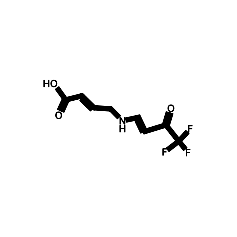 O=C(O)/C=C/CN/C=C/C(=O)C(F)(F)F